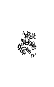 CCN(C(C)=O)c1cccc(-c2ccnc3c(C#N)cnn23)c1.O=C(O)COc1ccc(C(=O)c2cccs2)c(Cl)c1Cl.OCCN1CCN(CCCN2c3ccccc3Sc3ccc(C(F)(F)F)cc32)CC1